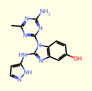 Cc1nc(N)nc(-n2c(Nc3ccn[nH]3)nc3cc(O)ccc32)n1